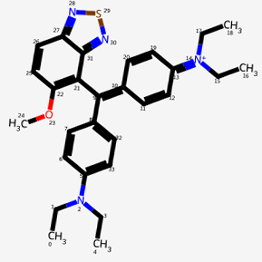 CCN(CC)c1ccc(C(=C2C=CC(=[N+](CC)CC)C=C2)c2c(OC)ccc3nsnc23)cc1